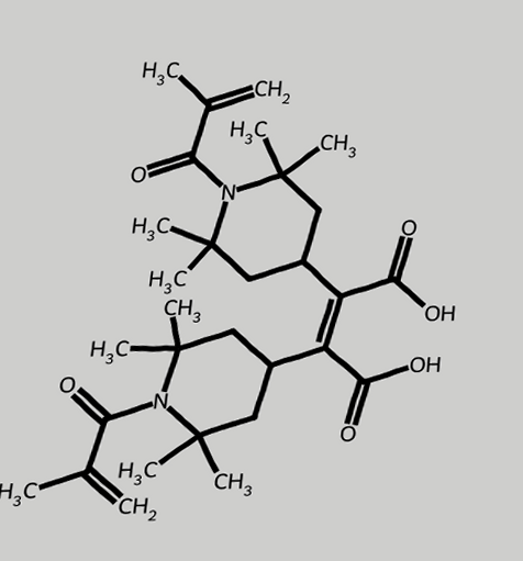 C=C(C)C(=O)N1C(C)(C)CC(/C(C(=O)O)=C(/C(=O)O)C2CC(C)(C)N(C(=O)C(=C)C)C(C)(C)C2)CC1(C)C